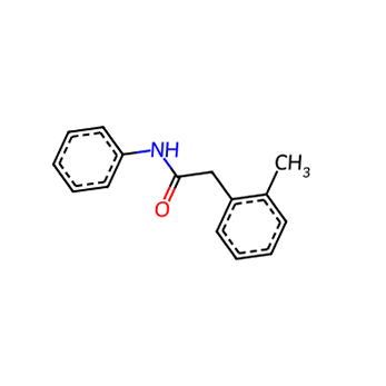 Cc1ccccc1CC(=O)Nc1ccccc1